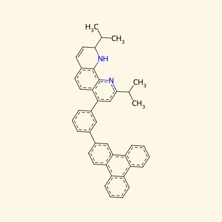 CC(C)c1cc(-c2cccc(-c3ccc4c5ccccc5c5ccccc5c4c3)c2)c2ccc3c(c2n1)NC(C(C)C)C=C3